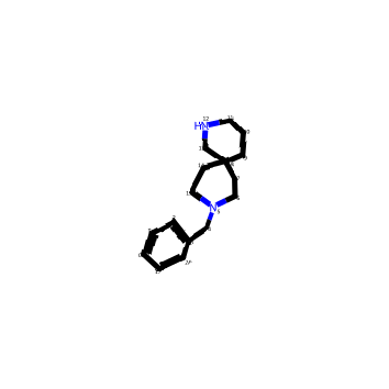 c1ccc(CN2CCC3(CCCNC3)CC2)cc1